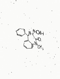 Cn1c(=O)c(=NO)nc(-c2ccccc2)c2ccccc21